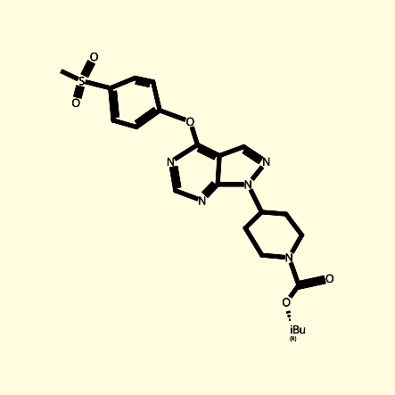 CC[C@@H](C)OC(=O)N1CCC(n2ncc3c(Oc4ccc(S(C)(=O)=O)cc4)ncnc32)CC1